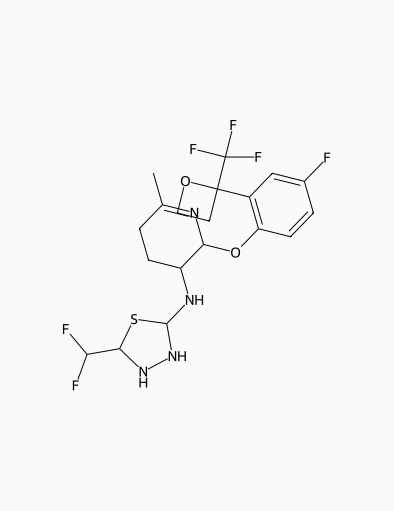 CC1=NC(Oc2ccc(F)cc2C2(C(F)(F)F)CCO2)C(NC2NNC(C(F)F)S2)CC1